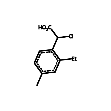 CCc1cc(C)ccc1C(Cl)C(=O)O